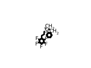 C=C[Si](C=C)(CCCc1c(F)c(F)c(F)c(F)c1F)c1ccccc1